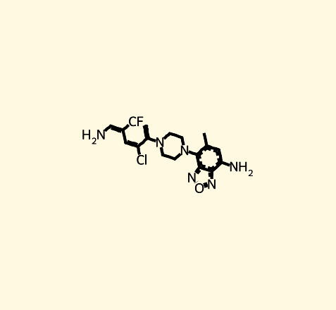 C=C(/C(Cl)=C\C(=C/N)C(F)(F)F)N1CCN(c2c(C)cc(N)c3nonc23)CC1